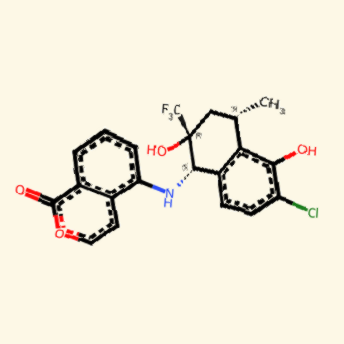 C[C@H]1C[C@](O)(C(F)(F)F)[C@@H](Nc2cccc3c(=O)occc23)c2ccc(Cl)c(O)c21